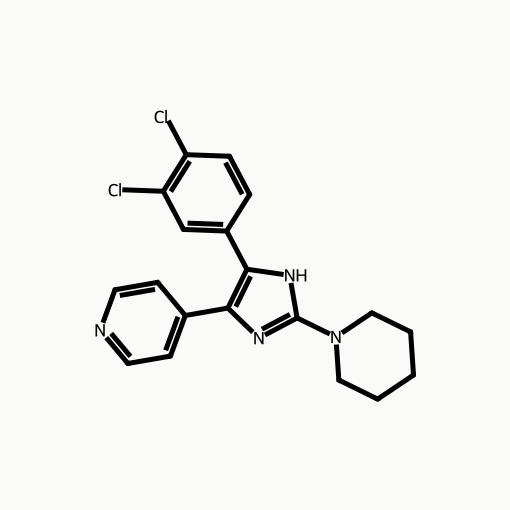 Clc1ccc(-c2[nH]c(N3CCCCC3)nc2-c2ccncc2)cc1Cl